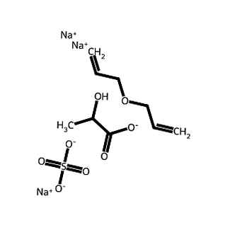 C=CCOCC=C.CC(O)C(=O)[O-].O=S(=O)([O-])[O-].[Na+].[Na+].[Na+]